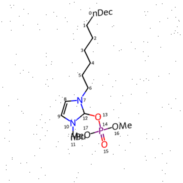 CCCCCCCCCCCCCCCCN1C=CN(CCCC)C1OP(=O)(OC)OC